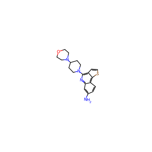 Nc1ccc2c(c1)nc(N1CCC(N3CCOCC3)CC1)c1ccsc12